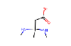 CNC(C)(CC(=O)O)NC